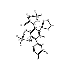 Cc1ccc(-c2c(C)c(C3=CCCC3)c(C(OC(C)(C)C)C(=O)O)c(C)c2NS(C)(=O)=O)cc1C